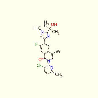 Cc1ccc(Cl)c(-n2cc(C(C)C)c3cc(-c4cn(C)c(C(C)(C)O)n4)c(F)cc3c2=O)n1